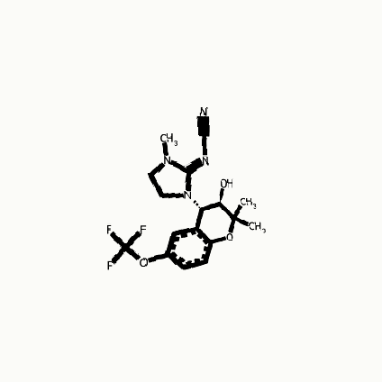 CN1CCN([C@H]2c3cc(OC(F)(F)F)ccc3OC(C)(C)[C@@H]2O)C1=NC#N